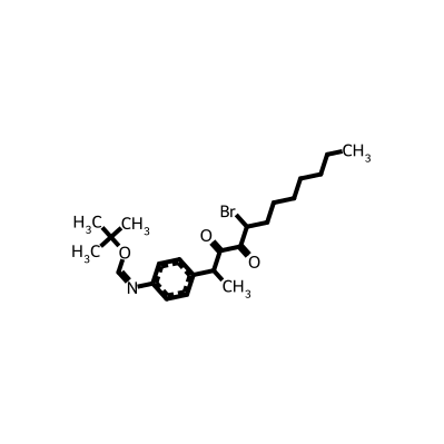 CCCCCCCC(Br)C(=O)C(=O)C(C)c1ccc(/N=C\OC(C)(C)C)cc1